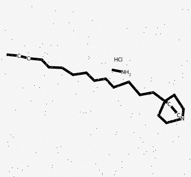 CCCCCCCCCCCCCCC12CCN(CC1)CC2.CN.Cl